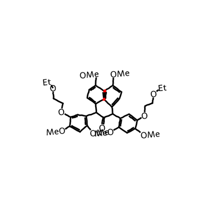 CCOCCOc1cc(C(C(=O)C(c2ccc(OC)cc2)c2cc(OCCOCC)c(OC)cc2OC)c2ccc(OC)cc2)c(OC)cc1OC